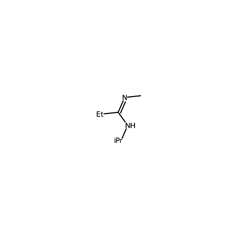 CC/C(=N/C)NC(C)C